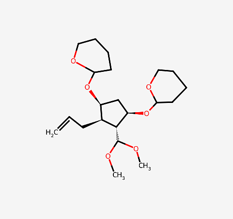 C=CC[C@@H]1[C@@H](C(OC)OC)[C@H](OC2CCCCO2)C[C@@H]1OC1CCCCO1